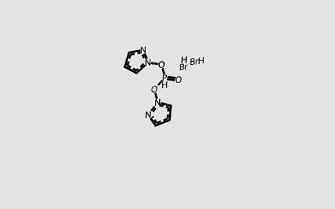 Br.Br.O=[PH](On1cccn1)On1cccn1